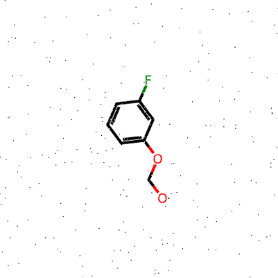 [O]COc1cccc(F)c1